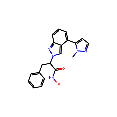 Cn1nccc1-c1cccc2nn(C(Cc3ccccc3)C(=O)NO)cc12